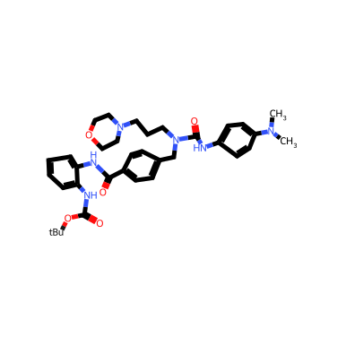 CN(C)c1ccc(NC(=O)N(CCCN2CCOCC2)Cc2ccc(C(=O)Nc3ccccc3NC(=O)OC(C)(C)C)cc2)cc1